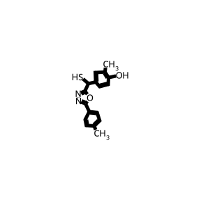 Cc1ccc(-c2nnc(C(S)c3ccc(O)c(C)c3)o2)cc1